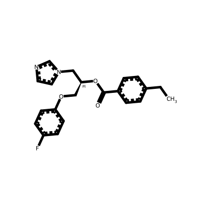 CCc1ccc(C(=O)O[C@@H](COc2ccc(F)cc2)Cn2ccnc2)cc1